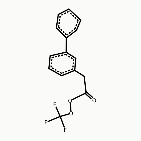 O=C(Cc1cccc(-c2ccccc2)c1)OOC(F)(F)F